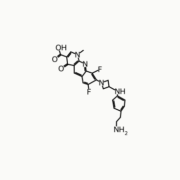 Cn1cc(C(=O)O)c(=O)c2cc3cc(F)c(N4CC(Nc5ccc(CCN)cc5)C4)c(F)c3nc21